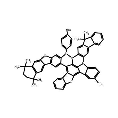 CC(C)(C)c1ccc(N2B3c4cc5c(cc4-n4c6ccc(C(C)(C)C)cc6c6c7sc8ccccc8c7c(c3c64)-c3cc4c(cc32)oc2cc3c(cc24)C(C)(C)CCC3(C)C)-c2ccccc2C5(C)C)cc1